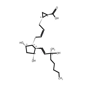 CCCCC[C@](C)(O)/C=C/[C@@H]1[C@@H](C/C=C\C[C@@H]2C[C@H]2C(=O)O)[C@@H](O)C[C@H]1O